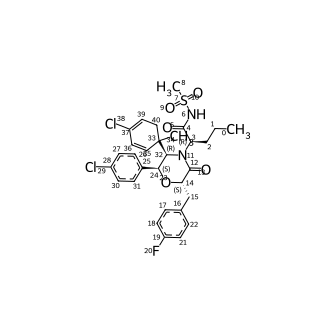 CCC[C@H](C(=O)NS(C)(=O)=O)N1C(=O)[C@H](Cc2ccc(F)cc2)O[C@@H](c2ccc(Cl)cc2)[C@H]1C1(C)C=CC(Cl)=CC1